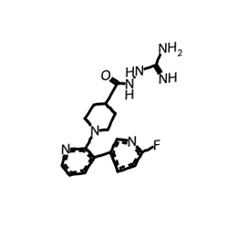 N=C(N)NNC(=O)C1CCN(c2ncccc2-c2ccc(F)nc2)CC1